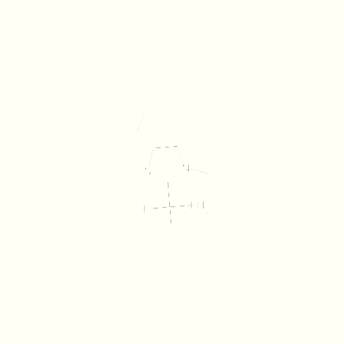 C/C=c1/nc(C(F)(F)P)n(C)/c1=C/C